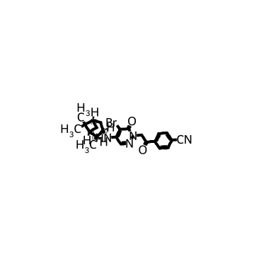 C[C@@H]1[C@H]2C[C@@H](C[C@H]1Nc1cnn(CC(=O)c3ccc(C#N)cc3)c(=O)c1Br)C2(C)C